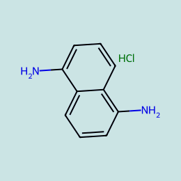 Cl.Nc1cccc2c(N)cccc12